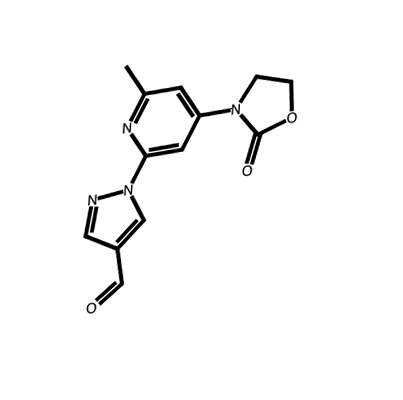 Cc1cc(N2CCOC2=O)cc(-n2cc(C=O)cn2)n1